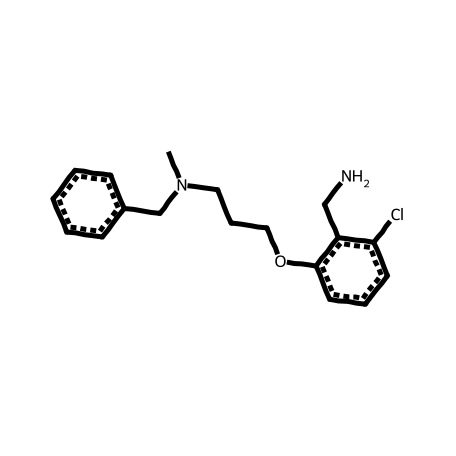 CN(CCCOc1cccc(Cl)c1CN)Cc1ccccc1